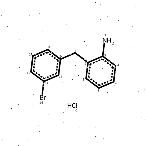 Cl.Nc1ccccc1Cc1cccc(Br)c1